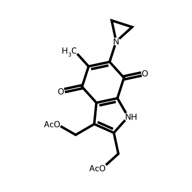 CC(=O)OCc1[nH]c2c(c1COC(C)=O)C(=O)C(C)=C(N1CC1)C2=O